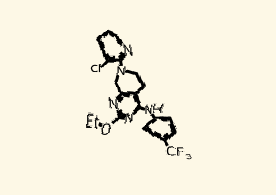 CCOc1nc2c(c(Nc3ccc(C(F)(F)F)cc3)n1)CCN(c1ncccc1Cl)C2